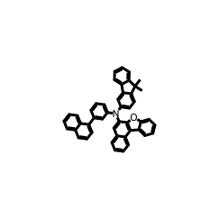 CC1(C)c2ccccc2-c2cc(N(c3cccc(-c4cccc5ccccc45)c3)c3cc4ccccc4c4c3oc3ccccc34)ccc21